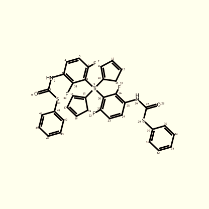 O=C(Nc1ccc(F)[c]([Ti]([C]2=CC=CC2)([C]2=CC=CC2)[c]2c(F)ccc(NC(=O)Sc3ccccc3)c2F)c1F)Sc1ccccc1